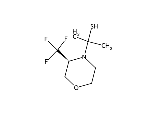 CC(C)(S)N1CCOC[C@H]1C(F)(F)F